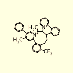 C=C1C2C(CCc3c(cccc3C(F)(F)F)-c3cc(C)c(-c4ccccc4)c[n+]31)c1ccccc1-c1cccc[n+]12